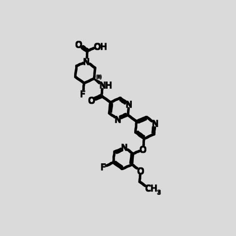 CCOc1cc(F)cnc1Oc1cncc(-c2ncc(C(=O)N[C@@H]3CN(C(=O)O)CCC3F)cn2)c1